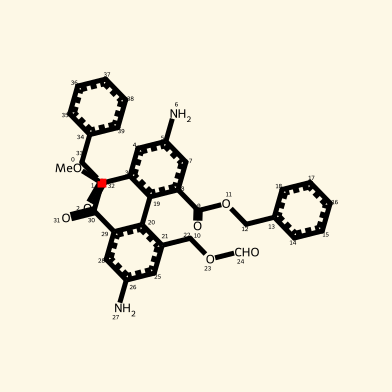 COC(=O)c1cc(N)cc(C(=O)OCc2ccccc2)c1-c1c(COC=O)cc(N)cc1C(=O)OCc1ccccc1